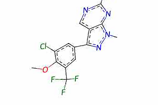 COc1c(Cl)cc(-c2nn(C)c3nc(N)ncc23)cc1C(F)(F)F